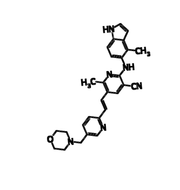 Cc1nc(Nc2ccc3[nH]ccc3c2C)c(C#N)cc1/C=C/c1ccc(CN2CCOCC2)cn1